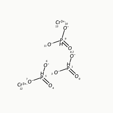 O=[PH]([O-])[O-].O=[PH]([O-])[O-].O=[PH]([O-])[O-].[Cr+3].[Cr+3]